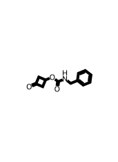 O=C1CC(OC(=O)NCc2ccccc2)C1